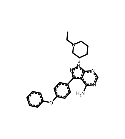 CCN1CCC[C@H](n2nc(-c3ccc(Oc4ccccc4)cc3)c3c(N)ncnc32)C1